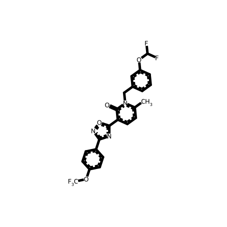 Cc1ccc(-c2nc(-c3ccc(OC(F)(F)F)cc3)no2)c(=O)n1Cc1cccc(OC(F)F)c1